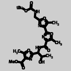 COC(=O)c1nc(C(NC(=O)c2nc(-c3nc(CNC(=O)OC(C)(C)C)oc3C)oc2C)C(C)O)oc1C